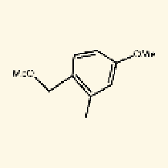 [CH2]OCc1ccc(OC)cc1C